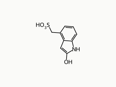 O=S(=O)(O)Cc1cccc2[nH]c(O)cc12